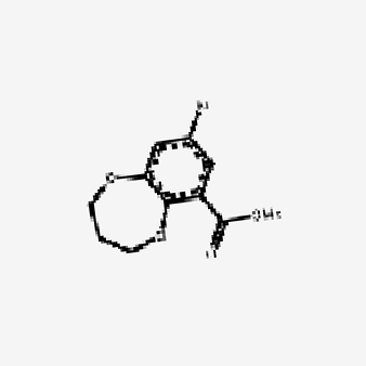 COC(=O)c1cc(Br)cc2c1OCCCO2